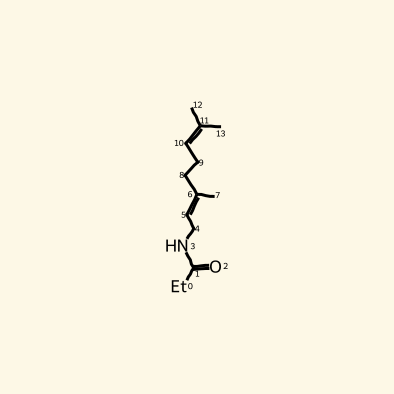 CCC(=O)NC/C=C(\C)CCC=C(C)C